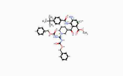 COC(=O)c1ccc(N)c(NC(=O)c2ccc(C(C)(C)C)cc2)c1C(=O)C1CCCN(C(=NC(=O)OCc2ccccc2)NC(=O)OCc2ccccc2)C1.Cl